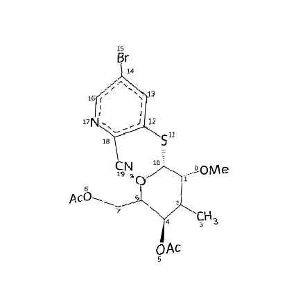 COC1C(C)[C@@H](OC(C)=O)C(COC(C)=O)O[C@@H]1Sc1cc(Br)cnc1C#N